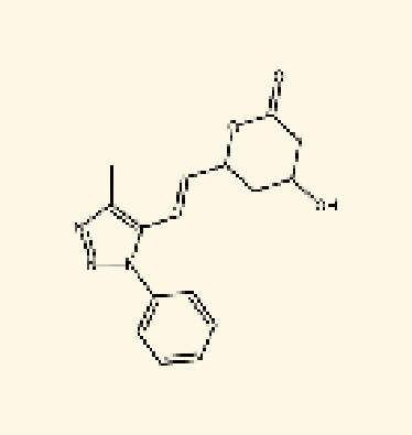 Cc1nnn(-c2ccccc2)c1C=CC1CC(O)CC(=O)O1